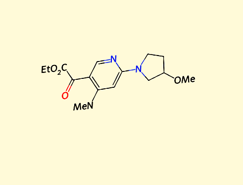 CCOC(=O)C(=O)c1cnc(N2CCC(OC)C2)cc1NC